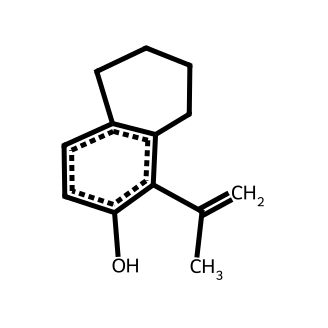 C=C(C)c1c(O)ccc2c1CCCC2